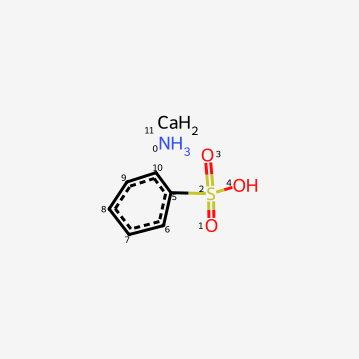 N.O=S(=O)(O)c1ccccc1.[CaH2]